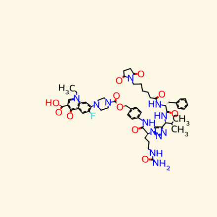 CCn1cc(C(=O)O)c(=O)c2cc(F)c(N3CCN(C(=O)OCc4ccc(NC(=O)[C@H](CCCNC(N)=O)n5cc([C@@H](NC(=O)[C@@H](Cc6ccccc6)NC(=O)CCCCCN6C(=O)CCC6=O)C(C)C)nn5)cc4)CC3)cc21